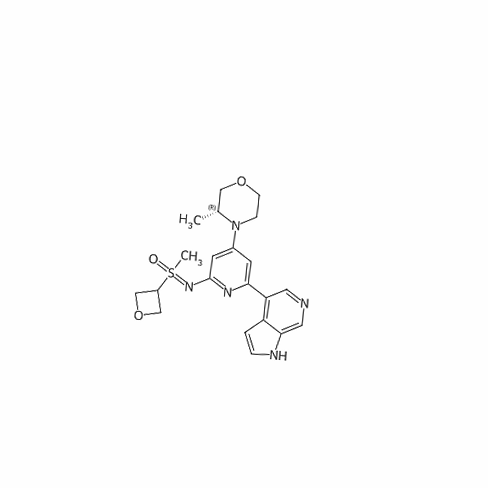 C[C@@H]1COCCN1c1cc(N=S(C)(=O)C2COC2)nc(-c2cncc3[nH]ccc23)c1